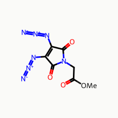 COC(=O)CN1C(=O)C(N=[N+]=[N-])=C(N=[N+]=[N-])C1=O